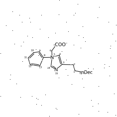 CCCCCCCCCCCCC1=C[N+](CC(=O)[O-])(c2ccccc2)C=N1